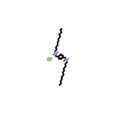 CCCCCCCCCCCC[N+](C)(C)Cc1ccc(C[N+](C)(C)CCCCCCCCCCCC)cc1.[Cl-].[Cl-]